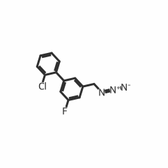 [N-]=[N+]=NCc1cc(F)cc(-c2ccccc2Cl)c1